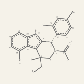 CCC1(C)CN(C(C)=O)[C@@H](c2ccc(C)cc2C)c2[nH]c3cccc(F)c3c21